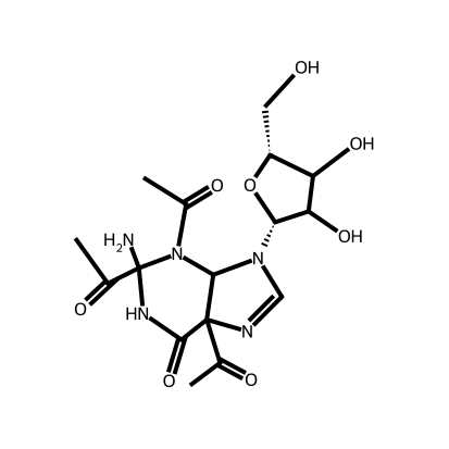 CC(=O)N1C2N([C@@H]3O[C@H](CO)C(O)C3O)C=NC2(C(C)=O)C(=O)NC1(N)C(C)=O